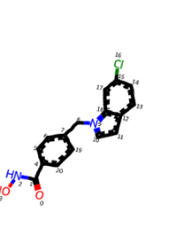 O=C(NO)c1ccc(Cn2ccc3ccc(Cl)cc32)cc1